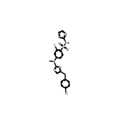 CN(c1ccc(S(=O)(=O)Nc2nccs2)c(F)c1)c1nc(Cc2ccc(Cl)cc2)cs1